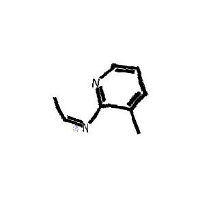 C/C=N\c1ncccc1C